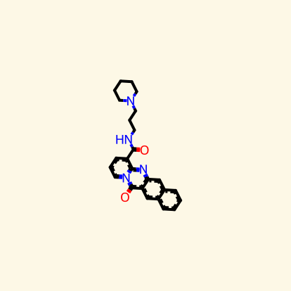 O=C(NCCCN1CCCCC1)c1cccn2c(=O)c3cc4ccccc4cc3nc12